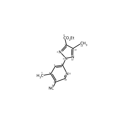 CCOC(=O)c1nn(-c2cc(C)c(C#N)cn2)nc1C